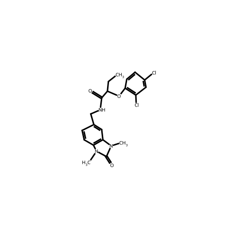 CCC(Oc1ccc(Cl)cc1Cl)C(=O)NCc1ccc2c(c1)n(C)c(=O)n2C